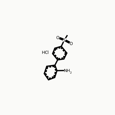 CS(=O)(=O)c1ccc(-c2ccccc2N)cc1.Cl